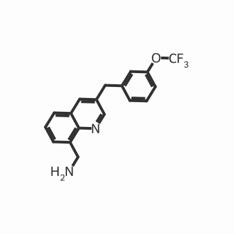 NCc1cccc2cc(Cc3cccc(OC(F)(F)F)c3)cnc12